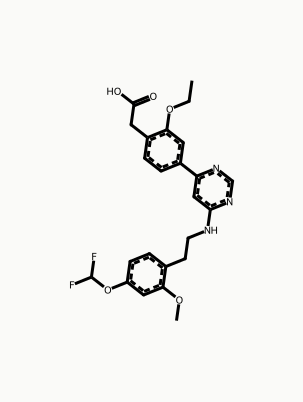 CCOc1cc(-c2cc(NCCc3ccc(OC(F)F)cc3OC)ncn2)ccc1CC(=O)O